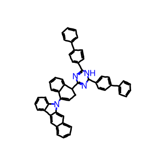 C1=C(n2c3ccccc3c3cc4ccccc4cc32)c2ccccc2C(C2=NC(c3ccc(-c4ccccc4)cc3)NC(c3ccc(-c4ccccc4)cc3)=N2)C1